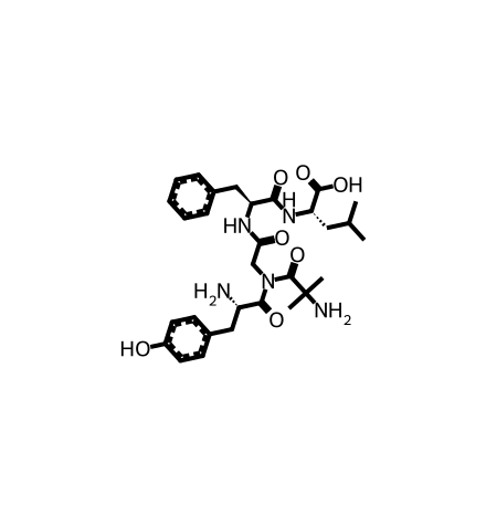 CC(C)C[C@H](NC(=O)[C@H](Cc1ccccc1)NC(=O)CN(C(=O)[C@@H](N)Cc1ccc(O)cc1)C(=O)C(C)(C)N)C(=O)O